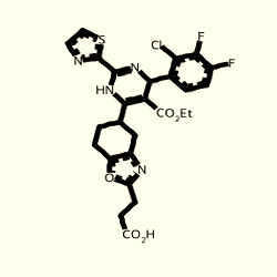 CCOC(=O)C1=C(C2CCc3oc(CCC(=O)O)nc3C2)NC(c2nccs2)=NC1c1ccc(F)c(F)c1Cl